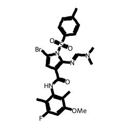 COc1cc(F)c(C)c(NC(=O)c2cc(Br)n(S(=O)(=O)c3ccc(C)cc3)c2/N=C/N(C)C)c1C